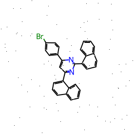 Brc1ccc(-c2cc(-c3cccc4ccccc34)nc(-c3cccc4ccccc34)n2)cc1